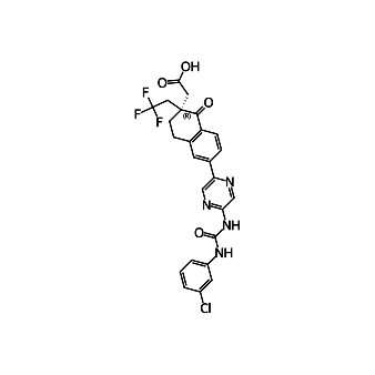 O=C(O)C[C@@]1(CC(F)(F)F)CCc2cc(-c3cnc(NC(=O)Nc4cccc(Cl)c4)cn3)ccc2C1=O